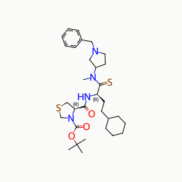 CN(C(=S)[C@@H](CCC1CCCCC1)NC(=O)[C@@H]1CSCN1C(=O)OC(C)(C)C)C1CCN(Cc2ccccc2)C1